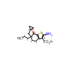 N#CCCC1(CC2CC2)CCc2c(sc(N)c2C(=O)O)C1=O